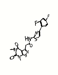 Cn1c(=O)c2c(CC(=O)Nc3nc(-c4ccc(F)cc4F)cs3)nsc2n(C)c1=O